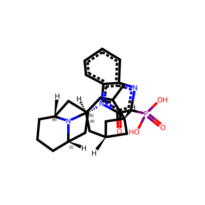 CC1=C[C@H](N2[C@@H]3CCC[C@H]2C[C@@H](n2c(=O)c(P(=O)(O)O)nc4ccccc42)C3)C[C@H]2C[C@@H]1C2